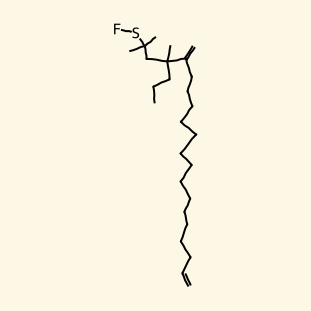 C=CCCCCCCCCCCCCCC(=C)C(C)(CCC)CC(C)(C)SF